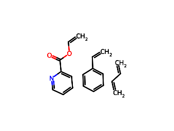 C=CC=C.C=COC(=O)c1ccccn1.C=Cc1ccccc1